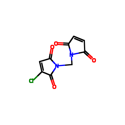 O=C1C=CC(=O)N1CN1C(=O)C=C(Cl)C1=O